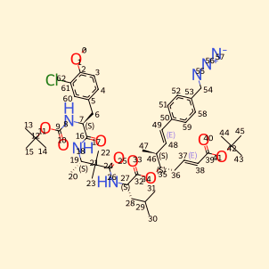 COc1ccc(C[C@H](NC(=O)OC(C)(C)C)C(=O)N[C@@H](C)C(C)(C)C(=O)N[C@@H](CC(C)C)C(=O)O[C@@H](C/C=C/C(=O)OC(C)(C)C)[C@@H](C)/C=C/c2ccc(CN=[N+]=[N-])cc2)cc1Cl